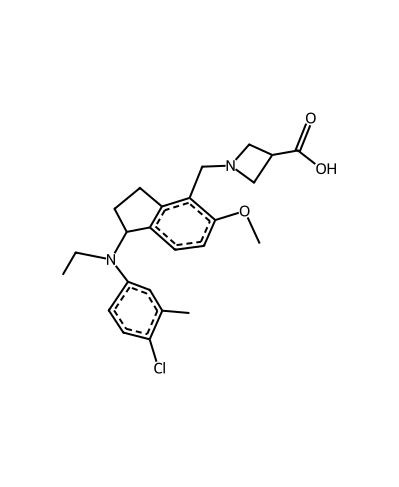 CCN(c1ccc(Cl)c(C)c1)C1CCc2c1ccc(OC)c2CN1CC(C(=O)O)C1